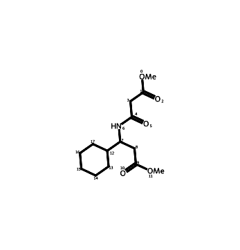 COC(=O)CC(=O)NC(CC(=O)OC)C1CCCCC1